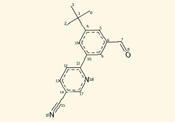 CC(C)(C)c1cc(C=O)cc(-c2ccc(C#N)cn2)c1